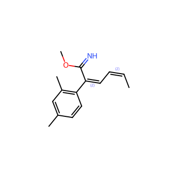 C/C=C\C=C(/C(=N)OC)c1ccc(C)cc1C